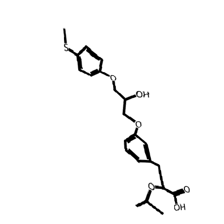 CSc1ccc(OCC(O)COc2cccc(CC(OC(C)C)C(=O)O)c2)cc1